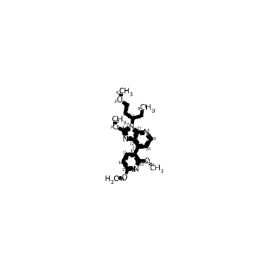 CCC(CCOC)n1c(OC)nc2c(-c3ccc(OC)nc3OC)ccnc21